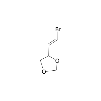 BrC=CC1COCO1